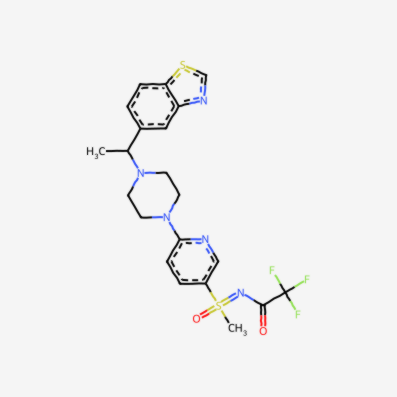 CC(c1ccc2scnc2c1)N1CCN(c2ccc(S(C)(=O)=NC(=O)C(F)(F)F)cn2)CC1